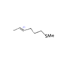 C/C=C/CCCSC